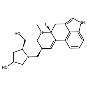 CN1C[C@H](CN2CC(O)C[C@H]2CO)C=C2c3cccc4[nH]cc(c34)C[C@H]21